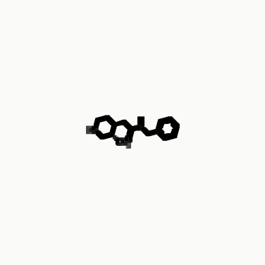 C[C@@H]1CNCC[C@H]1CC(=O)NCc1ccccc1